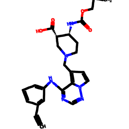 C#Cc1cccc(Nc2ncnn3ccc(CN4CC[C@@H](NC(=O)OCC=C)[C@@H](C(=O)O)C4)c23)c1